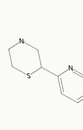 c1ccc(C2C[N]CCS2)nc1